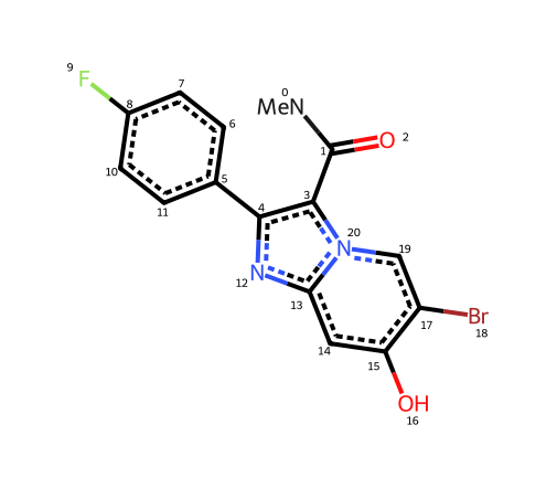 CNC(=O)c1c(-c2ccc(F)cc2)nc2cc(O)c(Br)cn12